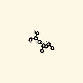 c1ccc(-c2ccnc3c2ccc2c(-c4ccccc4)cc(-c4ccc(-c5cc(-c6cccnc6)cc(-c6cccnc6)c5)nc4)nc23)cc1